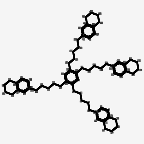 c1c(CCCCC[n+]2ccc3c(c2)CCCC3)c(CCCCC[n+]2ccc3c(c2)CCCC3)cc(CCCCC[n+]2ccc3c(c2)CCCC3)c1CCCCC[n+]1ccc2c(c1)CCCC2